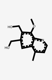 COc1c(CO)c(CO)cc2c(C)ccnc12